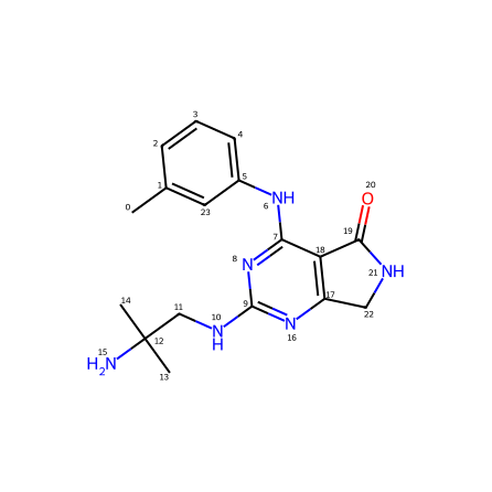 Cc1cccc(Nc2nc(NCC(C)(C)N)nc3c2C(=O)NC3)c1